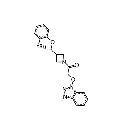 CC(C)(C)c1ccccc1OCC1CN(C(=O)COn2nnc3ccccc32)C1